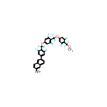 CCCc1ccc2cc(-c3cc(F)c(C(F)(F)Oc4cc(F)c(C(F)(F)Oc5cc(F)c(C(F)(F)OC(F)(F)F)c(F)c5)c(F)c4)c(F)c3)ccc2c1